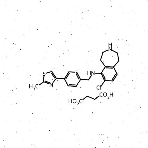 Cc1nc(-c2ccc(CNc3c(Cl)ccc4c3CCNCC4)cc2)cs1.O=C(O)CCC(=O)O